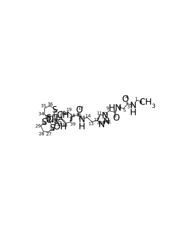 CCNC(=O)CNC(=O)Cn1cc(CCNC(=O)c2ccc(C(O)(C3(C)SCCCS3)C3(C)SCCCS3)cc2)nn1